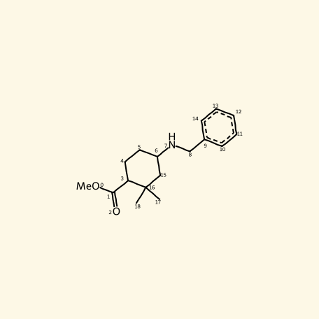 COC(=O)C1CCC(NCc2ccccc2)CC1(C)C